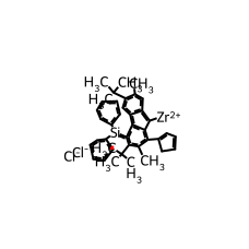 Cc1cc2c(cc1C(C)(C)C)=c1c(c(C3=CC=CC3)c(C)c(C(C)(C)C)c1=[Si](c1ccccc1)c1ccccc1)[C]=2[Zr+2].[Cl-].[Cl-]